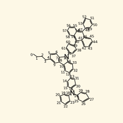 CCCCc1ccc2c(c1)c1cc(-c3ccc(N(c4ccccc4)c4ccccc4)cc3)ccc1n2-c1ccc(-c2c3ccccc3c(-c3ccccc3)c3ccccc23)cc1